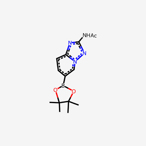 CC(=O)Nc1nc2ccc(B3OC(C)(C)C(C)(C)O3)cn2n1